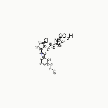 C=CCCc1cccc(/C=C/[C@H]2CC[C@@H](Cl)[C@@H]2CCSc2nc(C(=O)O)cs2)c1